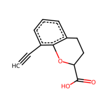 C#Cc1cccc2c1OC(C(=O)O)CC2